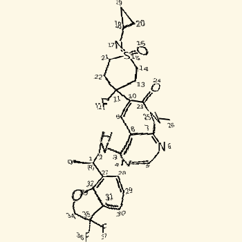 C[C@@H](Nc1ncnc2c1cc(C1(F)CCS(=O)(=NC3CC3)CC1)c(=O)n2C)c1cccc2c1OCC2(F)F